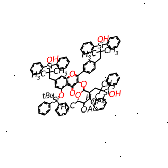 CC(=O)OC1C(C)OC(Oc2c(-c3ccc(CC(C)(C)[Si](O)(c4ccccc4)c4ccccc4)cc3)oc3cc(CC(C)(C)[Si](O)(c4ccccc4)c4ccccc4)cc(O[Si](c4ccccc4)(c4ccccc4)C(C)(C)C)c3c2=O)C(CC(C)(C)[Si](O)(c2ccccc2)c2ccccc2)C1OC(C)=O